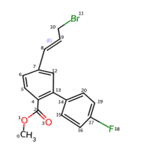 COC(=O)c1ccc(/C=C/CBr)cc1-c1ccc(F)cc1